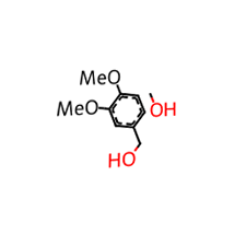 CO.COc1ccc(CO)cc1OC